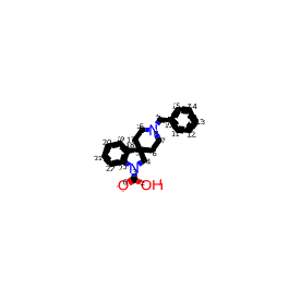 O=C(O)N1CC2(CCN(Cc3ccccc3)CC2)c2ccccc21